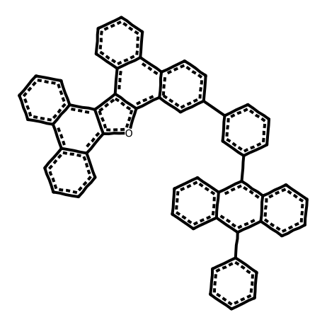 c1ccc(-c2c3ccccc3c(-c3cccc(-c4ccc5c6ccccc6c6c(oc7c8ccccc8c8ccccc8c76)c5c4)c3)c3ccccc23)cc1